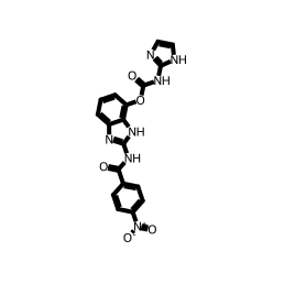 O=C(Nc1ncc[nH]1)Oc1cccc2nc(NC(=O)c3ccc([N+](=O)[O-])cc3)[nH]c12